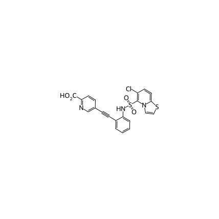 O=C(O)c1ccc(C#Cc2ccccc2NS(=O)(=O)C2=C(Cl)C=C=C3SC=CN32)cn1